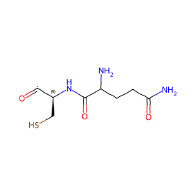 NC(=O)CCC(N)C(=O)N[C@H]([C]=O)CS